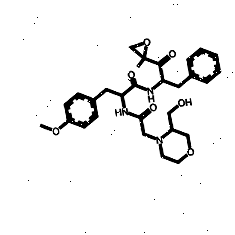 COc1ccc(CC(NC(=O)CN2CCOCC2CO)C(=O)NC(Cc2ccccc2)C(=O)C2(C)CO2)cc1